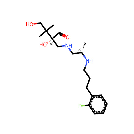 C[C@@H](CNC[C@](O)(C=O)C(C)(C)CO)NCCCc1ccccc1F